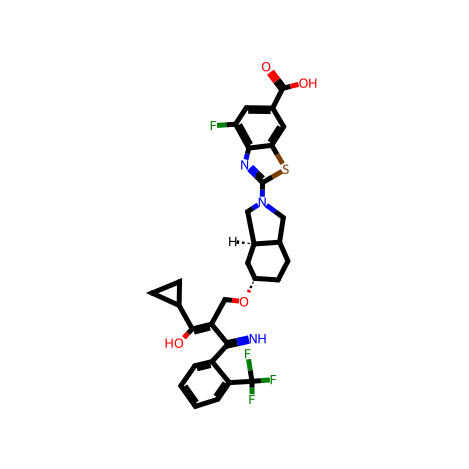 N=C(/C(CO[C@H]1CCC2CN(c3nc4c(F)cc(C(=O)O)cc4s3)C[C@@H]2C1)=C(\O)C1CC1)c1ccccc1C(F)(F)F